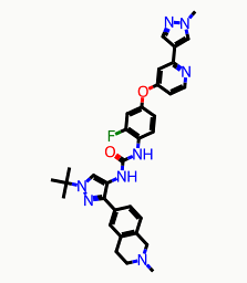 CN1CCc2cc(-c3nn(C(C)(C)C)cc3NC(=O)Nc3ccc(Oc4ccnc(-c5cnn(C)c5)c4)cc3F)ccc2C1